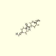 CC1CCN(C(=O)NC2CCN(C(C)C)CC2)CC1